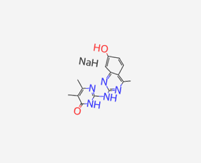 Cc1nc(Nc2nc(C)c3ccc(O)cc3n2)[nH]c(=O)c1C.[NaH]